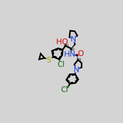 O=C(N[C@H](CN1CCCC1)[C@H](O)c1ccc(SC2CC2)c(Cl)c1)[C@@H]1CCN(c2ccc(Cl)cc2)C1